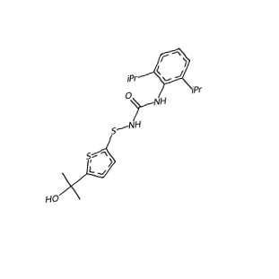 CC(C)c1cccc(C(C)C)c1NC(=O)NSc1ccc(C(C)(C)O)s1